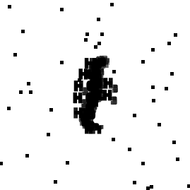 CCCOc1ccc2ccc(NC(=O)c3ccc(N=Nc4cc(C)c(N=Nc5cc(C)c(N=Nc6ccc7cc(Nc8ccccc8)ccc7c6O)cc5C)cc4C)cc3)cc2c1